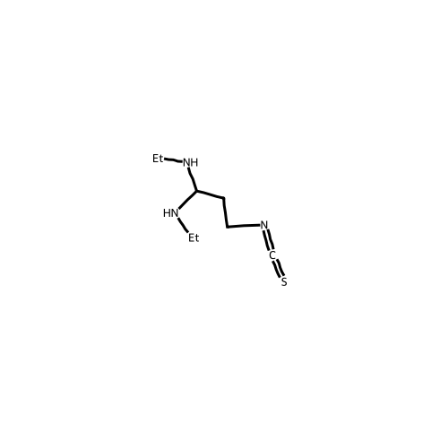 CCNC(CCN=C=S)NCC